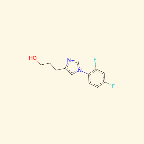 OCCCc1cn(-c2ccc(F)cc2F)cn1